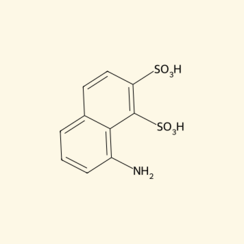 Nc1cccc2ccc(S(=O)(=O)O)c(S(=O)(=O)O)c12